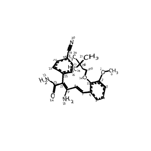 COc1cccc(/C=C/C(N)=C(/C(N)=O)c2ccc(C#N)cc2)c1OCC(C)(C)C